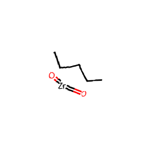 CCCCC.[O]=[Zr]=[O]